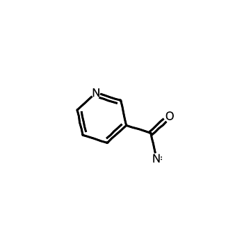 [N]C(=O)c1cccnc1